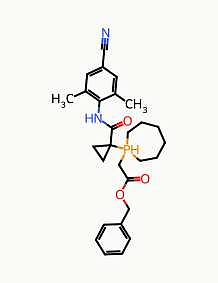 Cc1cc(C#N)cc(C)c1NC(=O)C1([PH]2(CC(=O)OCc3ccccc3)CCCCCC2)CC1